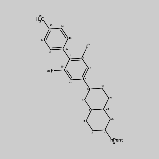 CCCCCC1CCC2CC(c3cc(F)c(-c4ccc(C)cc4)c(F)c3)CCC2C1